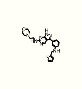 c1cc(NCc2cccs2)cc(-c2n[nH]c3nc(NCCN4CCOCC4)ncc23)c1